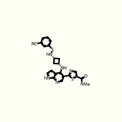 CNC(=O)c1cnc(-c2cnc3[nH]ccc3c2N[C@H]2C[C@@H](NSc3cccc(C#N)c3)C2)s1